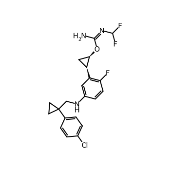 N/C(=N/C(F)F)O[C@@H]1C[C@@H]1c1cc(NCC2(c3ccc(Cl)cc3)CC2)ccc1F